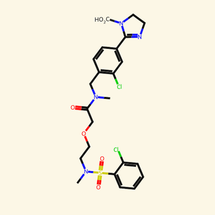 CN(Cc1ccc(C2=NCCN2C(=O)O)cc1Cl)C(=O)COCCN(C)S(=O)(=O)c1ccccc1Cl